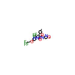 COc1ccc(NC(=O)C2=C(c3ccc(C)cc3)CC(c3ccc(OCCCC(F)(F)F)cc3)(C(F)(F)F)NC2=O)cn1